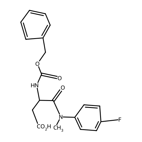 CN(C(=O)C(CC(=O)O)NC(=O)OCc1ccccc1)c1ccc(F)cc1